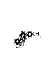 C[C]1CCN(c2nccn3c(-c4cccc(Cl)c4Cl)ncc23)CC1